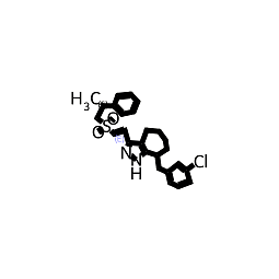 C[C@H](CS(=O)(=O)/C=C/c1n[nH]c2c1CCCCC2Cc1cccc(Cl)c1)c1ccccc1